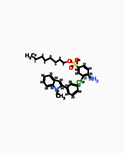 CCCCCCCCOS(=O)(=O)c1ccc(N)c(Cl)c1.Cn1c(-c2ccccc2)cc2ccccc21